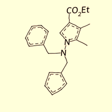 CCOC(=O)c1cn(N(Cc2ccccc2)Cc2ccccc2)c(C)c1C